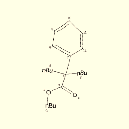 CCCCOC(=O)C(CCCC)(CCCC)c1ccccc1